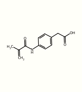 C=C(C)C(=O)Nc1ccc(CC(=O)O)cc1